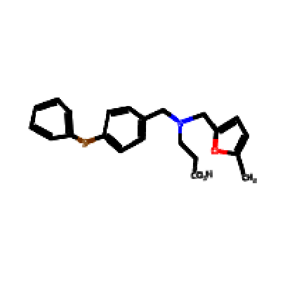 Cc1ccc(CN(CCC(=O)O)Cc2ccc(Sc3ccccc3)cc2)o1